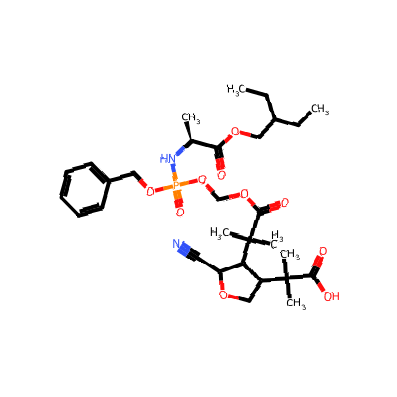 CCC(CC)COC(=O)[C@H](C)NP(=O)(OCOC(=O)C(C)(C)C1C(C#N)OCC1C(C)(C)C(=O)O)OCc1ccccc1